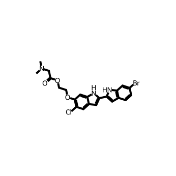 CN(C)CC(=O)OCCOc1cc2[nH]c(-c3cc4ccc(Br)cc4[nH]3)cc2cc1Cl